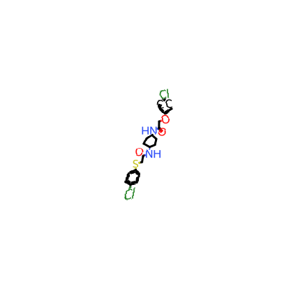 O=C(COc1ccc(Cl)cc1)N[C@H]1CC[C@H](NC(=O)CSc2ccc(Cl)cc2)CC1